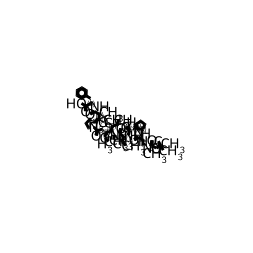 CC[C@H](C)[C@@H]([C@@H](CC(=O)N1CCC[C@H]1[C@H](OC)[C@@H](C)C(=O)N[C@@H](Cc1ccccc1)C(=O)O)OC)N(C)C(=O)[C@@H](NC(=O)[C@@H]1[C@H]2CC[C@H](C2)N1C(=O)CCN(C)C(=O)OC(C)(C)C)C(C)C